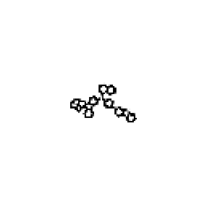 c1ccc2c(c1)-c1cc(N(c3ccc(-c4ccc5c(c4)oc4ccccc45)cc3)c3cccc4ccccc34)ccc1C21C2CC3CC4CC1C4(C3)C2